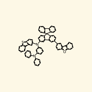 c1ccc(N(c2ccccc2)c2cccc(N(c3ccc4c(c3)-c3cc(-c5ccc6oc7ccccc7c6c5)ccc3C43c4ccccc4-c4ccccc43)c3ccc4sc5ccccc5c4c3)c2)cc1